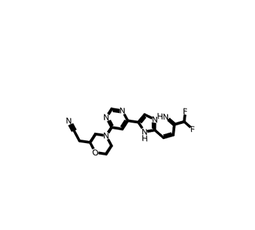 N#CCC1CN(c2cc(-c3cnc(/C=C\C(=N)C(F)F)[nH]3)ncn2)CCO1